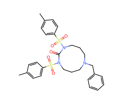 Cc1ccc(S(=O)(=O)N2CCCN(Cc3ccccc3)CCCN(S(=O)(=O)c3ccc(C)cc3)C2=O)cc1